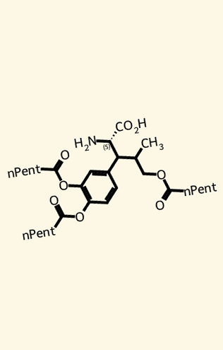 CCCCCC(=O)OCC(C)C(c1ccc(OC(=O)CCCCC)c(OC(=O)CCCCC)c1)[C@H](N)C(=O)O